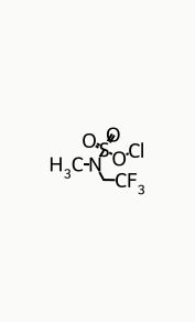 CN(CC(F)(F)F)S(=O)(=O)OCl